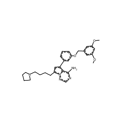 COc1cc(COc2cccc(-c3cc(CCCCN4CCCC4)n4ncnc(N)c34)c2)cc(OC)c1